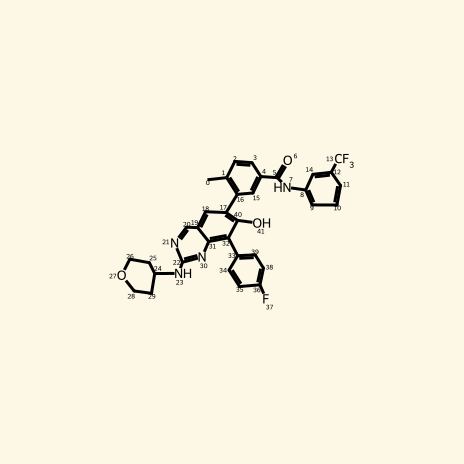 Cc1ccc(C(=O)Nc2cccc(C(F)(F)F)c2)cc1-c1cc2cnc(NC3CCOCC3)nc2c(-c2ccc(F)cc2)c1O